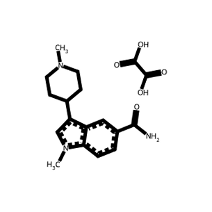 CN1CCC(c2cn(C)c3ccc(C(N)=O)cc23)CC1.O=C(O)C(=O)O